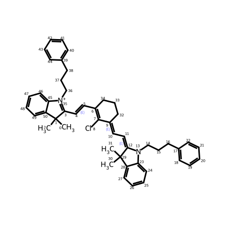 CC1(C)C(/C=C/C2=C(Cl)C(=C/C=C3/N(CCCc4ccccc4)c4ccccc4C3(C)C)/CCC2)=[N+](CCCc2ccccc2)c2ccccc21